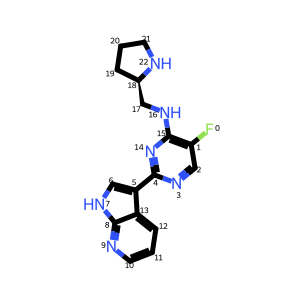 Fc1cnc(-c2c[nH]c3ncccc23)nc1NC[C@H]1CCCN1